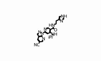 CC(C)Nc1cc(-n2ncc3cc(C#N)cnc32)ncc1C(=O)NCCc1c[nH]cn1